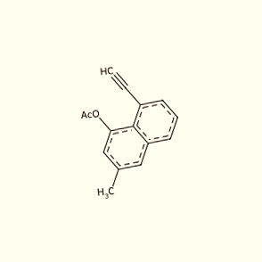 C#Cc1cccc2cc(C)cc(OC(C)=O)c12